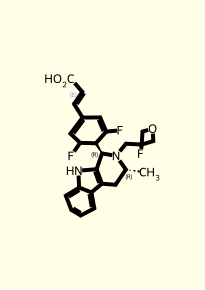 C[C@@H]1Cc2c([nH]c3ccccc23)[C@@H](C2C(F)=CC(/C=C/C(=O)O)=CC2F)N1CC1(F)COC1